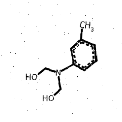 Cc1cccc(N(CO)CO)c1